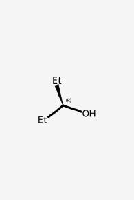 [CH2]C[C@@H](O)CC